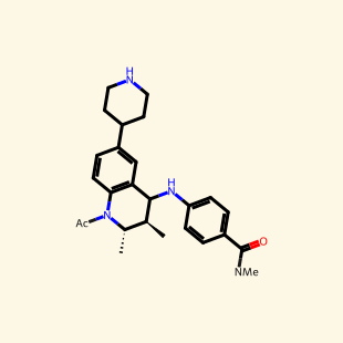 CNC(=O)c1ccc(NC2c3cc(C4CCNCC4)ccc3N(C(C)=O)[C@@H](C)[C@@H]2C)cc1